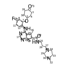 CO[C@H]1CC[C@H](Oc2cc(F)ccc2Nc2ncnc3sc(C(=O)NCCCN4CCN(C)CC4)c(C)c23)CC1